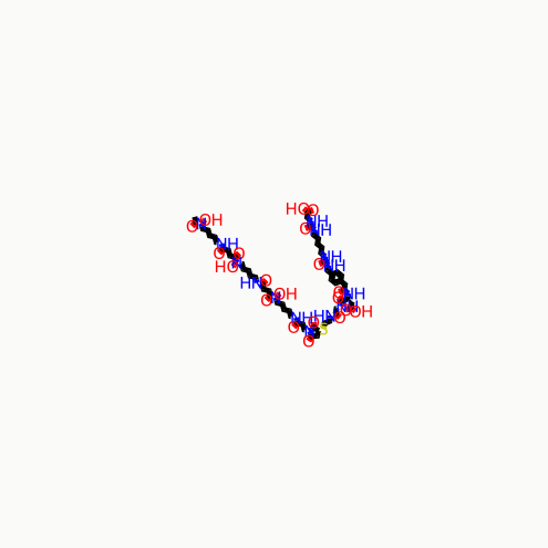 CC(=O)N(O)CCCCCNC(=O)CCC(=O)N(O)CCCCCNC(=O)CCC(=O)N(O)CCCCCNC(=O)CCN1C(=O)CC(SCCNC(=O)CNC(=O)[C@H](CC(=O)O)NC(=O)Cc2ccc(CNC(=O)NCCCCCNC(=O)NCC(=O)O)cc2)C1=O